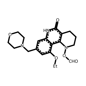 CCOc1cc(CN2CCOCC2)cc2[nH]c(=O)c3c(c12)N(OC=O)CCC3